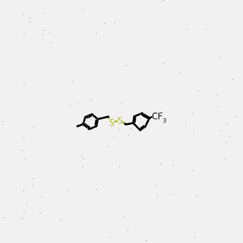 Cc1ccc(CSSCc2ccc(C(F)(F)F)cc2)cc1